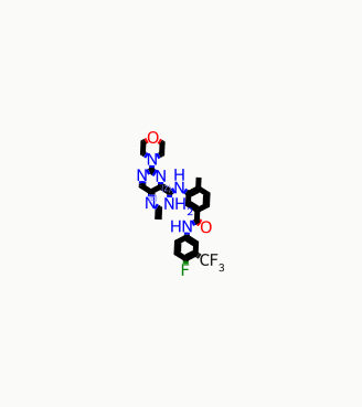 C=C/N=C1/C=NC(N2CCOCC2)=N/C1=C(/N)Nc1cc(C(=O)Nc2ccc(F)c(C(F)(F)F)c2)ccc1C